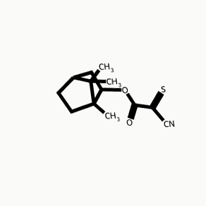 CC1(C)C2CCC1(C)C(OC(=O)C(=S)C#N)C2